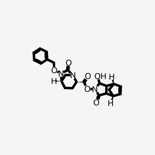 O=C(ON1C(=O)C2C(C1O)[C@@H]1C=C[C@H]2C1)[C@@H]1CC[C@@H]2CN1C(=O)N2OCc1ccccc1